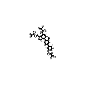 C=C(C)C(=O)OCC1CCc2c(-c3ccc(-c4ccc(OC(=O)C(=C)C)cc4)cc3F)ccc(OC(=O)C(=C)C)c21